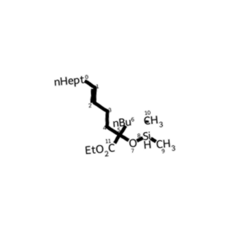 CCCCCCCC=CCCC(CCCC)(O[SiH](C)C)C(=O)OCC